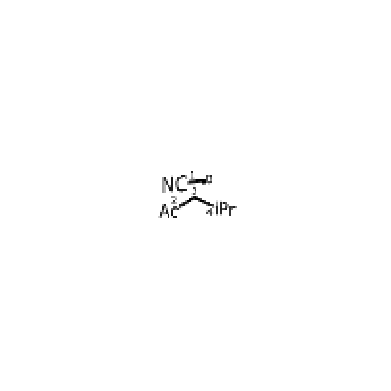 CC#N.CC(=O)CC(C)C